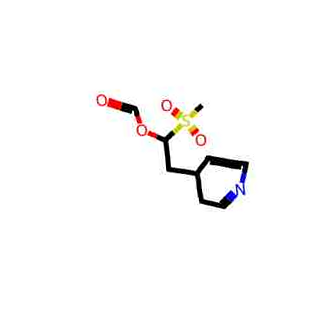 CS(=O)(=O)C(CC1C=CN=CC1)OC=O